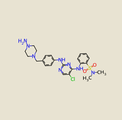 CN(C)S(=O)(=O)c1ccccc1Nc1nc(Nc2ccc(CN3CCN(N)CC3)cc2)ncc1Cl